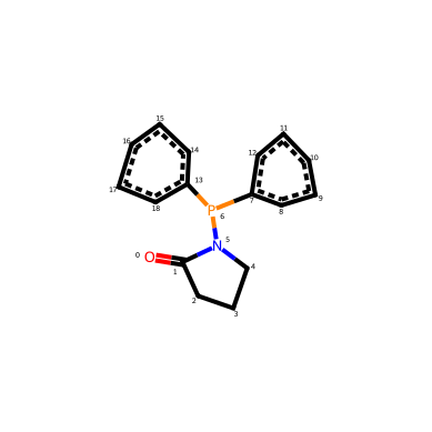 O=C1CCCN1P(c1ccccc1)c1ccccc1